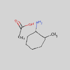 CC(=O)O.CC1CCCCC1N